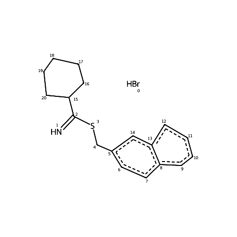 Br.N=C(SCc1ccc2ccccc2c1)C1CCCCC1